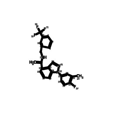 C=C(NCc1cccc(C(F)(F)F)c1)c1cccc2c1cnn2-c1ccc(F)c(C)c1